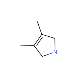 CC1=C(C)C[N]C1